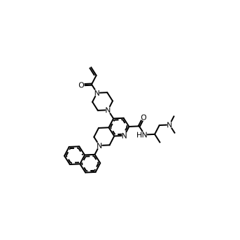 C=CC(=O)N1CCN(c2cc(C(=O)NC(C)CN(C)C)nc3c2CCN(c2cccc4ccccc24)C3)CC1